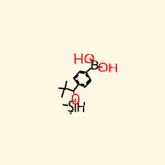 C[SiH](C)OC(c1ccc(B(O)O)cc1)C(C)(C)C